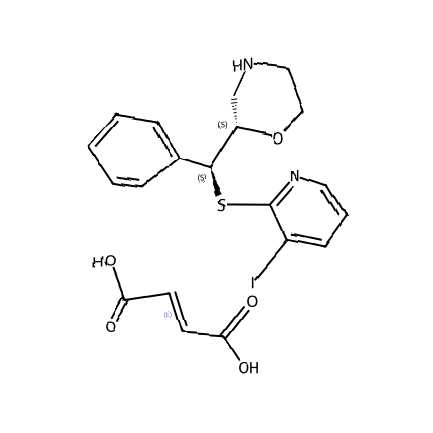 Ic1cccnc1S[C@@H](c1ccccc1)[C@@H]1CNCCO1.O=C(O)/C=C/C(=O)O